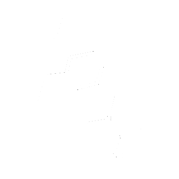 COc1ccc(CN(S)C(N)=O)cc1OC